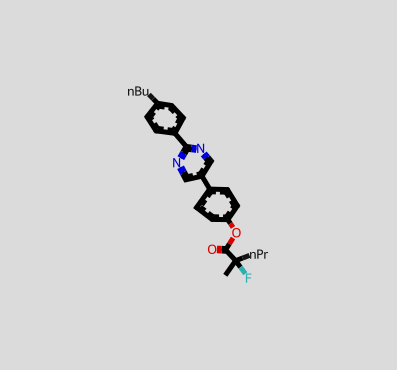 CCCCc1ccc(-c2ncc(-c3ccc(OC(=O)C(C)(F)CCC)cc3)cn2)cc1